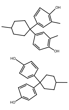 CC1CCC(c2ccc(O)cc2)(c2ccc(O)cc2)CC1.Cc1cc(C2(c3ccc(O)c(C)c3)CCC(C)CC2)ccc1O